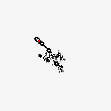 CC(C)([C@H](NC(=O)O)C(=O)NN(Cc1c(F)cc(-c2ccn(C(F)F)n2)cc1F)C[C@H](O)[C@H](Cc1ccc(C#Cc2ccc(N3CC4CCC(C3)N4C3COC3)nc2)cc1)NC(=O)[C@@H](NC(=O)OC1COC1)C(C)(C)C(F)(F)F)C(F)(F)F